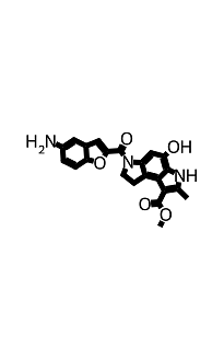 COC(=O)c1c(C)[nH]c2c(O)cc3c(c12)CCN3C(=O)C1=CC2C=C(N)C=CC2O1